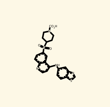 O=C(O)N1CCC(S(=O)(=O)c2ccc3nccc(Nc4ccc5scnc5c4)c3c2)CC1